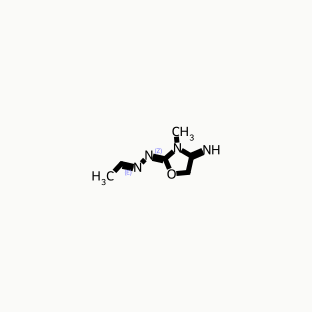 C/C=N/N=C1\OCC(=N)N1C